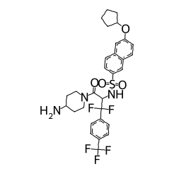 NC1CCN(C(=O)C(NS(=O)(=O)c2ccc3cc(OC4CCCC4)ccc3c2)C(F)(F)c2ccc(C(F)(F)F)cc2)CC1